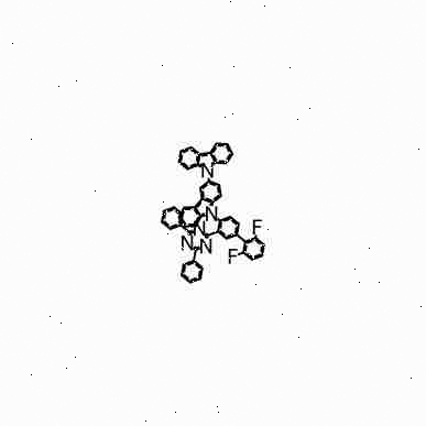 Fc1cccc(F)c1-c1ccc(-n2c3ccccc3c3cc(-n4c5ccccc5c5ccccc54)ccc32)c(-c2nc(-c3ccccc3)nc(-c3ccccc3)n2)c1